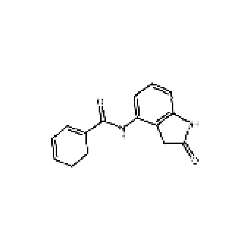 O=C1Cc2c(cccc2NC(=O)C2=CC=CCC2)N1